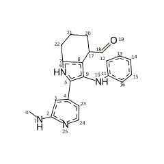 CNc1cc(-c2[nH]c3c(c2Nc2ccccc2)C(C=O)CCC3)ccn1